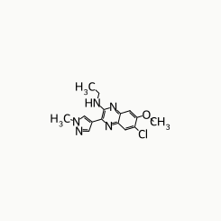 CCNc1nc2cc(OC)c(Cl)cc2nc1-c1cnn(C)c1